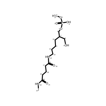 COP(=O)(O)OCC(CO)CCCCNC(=O)CCCC(=O)NI